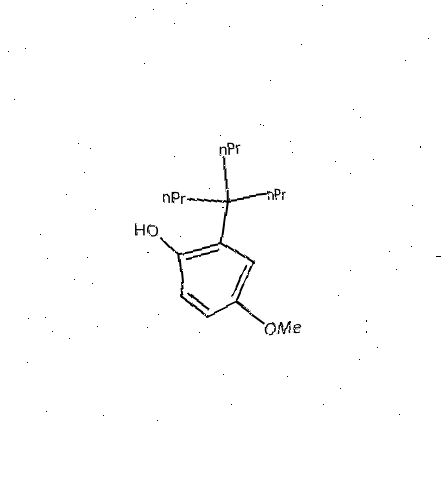 CCCC(CCC)(CCC)c1cc(OC)ccc1O